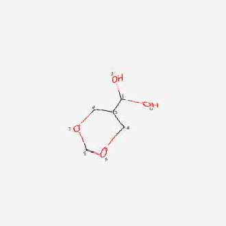 OC(O)C1COCOC1